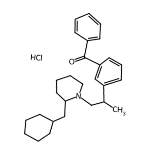 CC(CN1CCCCC1CC1CCCCC1)c1cccc(C(=O)c2ccccc2)c1.Cl